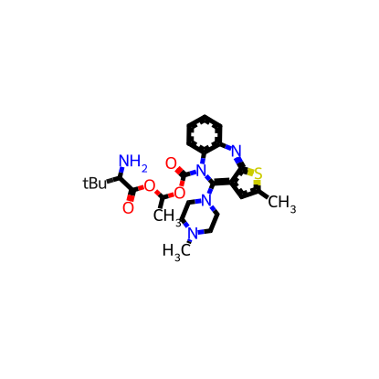 Cc1cc2c(s1)=Nc1ccccc1N(C(=O)OC(C)OC(=O)C(N)C(C)(C)C)C=2N1CCN(C)CC1